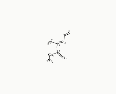 C=C/C=C(/C(=O)OCC)C(C)C